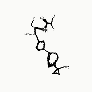 NC1(c2ccc(-c3ccc([C@H](O)[C@@H](CF)NC(=O)C(Cl)Cl)cc3)cc2)CC1